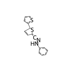 C(=NNc1ccccc1)=C1C=CC(c2cccs2)S1